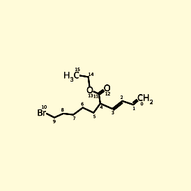 C=CC=CC(CCCCCBr)C(=O)OCC